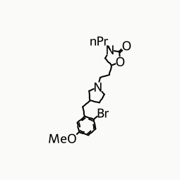 CCCN1CC(CCN2CCC(Cc3cc(OC)ccc3Br)C2)OC1=O